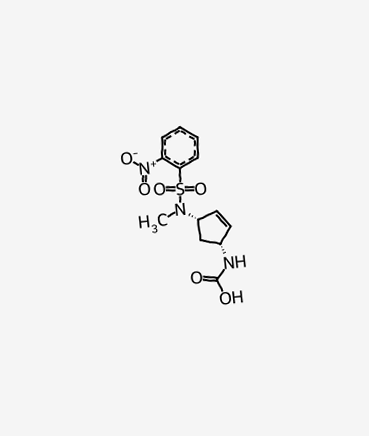 CN([C@@H]1C=C[C@H](NC(=O)O)C1)S(=O)(=O)c1ccccc1[N+](=O)[O-]